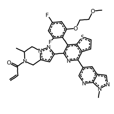 C=CC(=O)N1Cc2cc(-c3nc(-c4cnc5c(cnn5C)c4)c4ccsc4c3-c3c(F)cc(F)cc3OCCOC)nn2CC1C